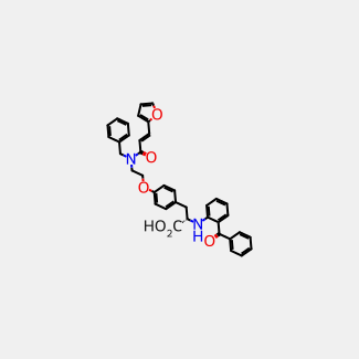 O=C(c1ccccc1)c1ccccc1N[C@@H](Cc1ccc(OCCN(Cc2ccccc2)C(=O)/C=C/c2ccco2)cc1)C(=O)O